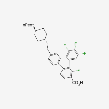 CCCCC[C@H]1CC[C@H](CCc2ccc(-c3ccc(C(=O)O)c(F)c3-c3cc(F)c(F)c(F)c3)cc2)CC1